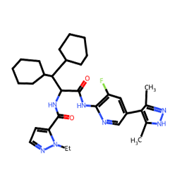 CCn1nccc1C(=O)NC(C(=O)Nc1ncc(-c2c(C)n[nH]c2C)cc1F)C(C1CCCCC1)C1CCCCC1